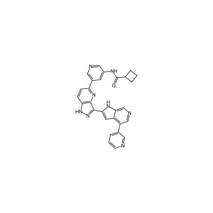 O=C(Nc1cncc(-c2ccc3[nH]nc(-c4cc5c(-c6cccnc6)cncc5[nH]4)c3n2)c1)C1CCC1